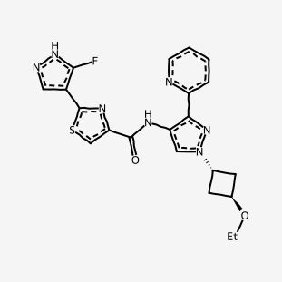 CCO[C@H]1C[C@H](n2cc(NC(=O)c3csc(-c4cn[nH]c4F)n3)c(-c3ccccn3)n2)C1